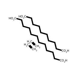 C=C.C=C.O=C(O)CCCCCCCCC(=O)O.O=C(O)CCCCCCCCCCC(=O)O